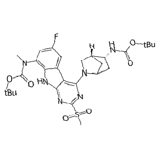 CN(C(=O)OC(C)(C)C)c1cc(F)cc2c1[nH]c1nc(S(C)(=O)=O)nc(N3C[C@H]4CC3C[C@H]4NC(=O)OC(C)(C)C)c12